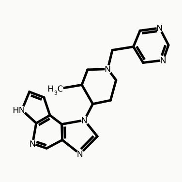 CC1CN(Cc2cncnc2)CCC1n1cnc2cnc3[nH]ccc3c21